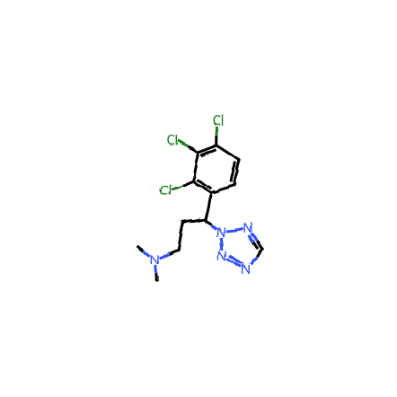 CN(C)CCC(c1ccc(Cl)c(Cl)c1Cl)n1ncnn1